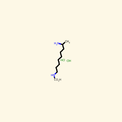 CC(N)CCCCCCCNC(=O)O.Cl.Cl